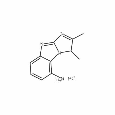 CC1=Nc2nc3cccc(N)c3n2C1C.Cl